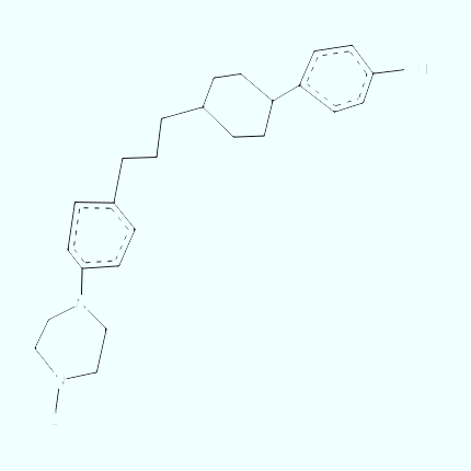 CCN1CCN(c2ccc(CCCC3CCC(c4ccc(C)cc4)CC3)cc2)CC1